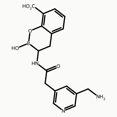 NCc1cncc(CC(=O)NC2Cc3cccc(C(=O)O)c3OB2O)c1